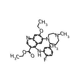 CCOC(=O)c1cnc2cc(OCC)c(N3CCCN(C)CC3)cc2c1Nc1cc(C)ccc1F